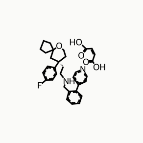 Fc1ccc([C@]2(CCNCc3ccccc3-c3ccncc3)CCOC3(CCCC3)C2)cc1.O=C(O)/C=C\C(=O)O